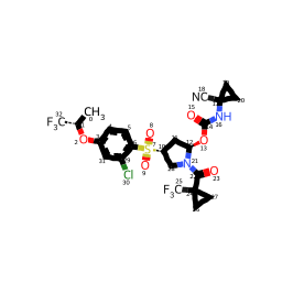 C[C@H](Oc1ccc(S(=O)(=O)[C@@H]2C[C@@H](OC(=O)NC3(C#N)CC3)N(C(=O)C3(C(F)(F)F)CC3)C2)c(Cl)c1)C(F)(F)F